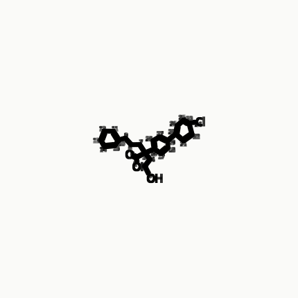 O=C(O)C(CCO)(CCCc1ccccc1)c1ccc(-c2ccc(Cl)cc2)cc1